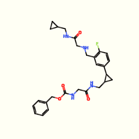 O=C(CNCc1cc(C2CC2CNC(=O)CNC(=O)OCc2ccccc2)ccc1F)NCC1CC1